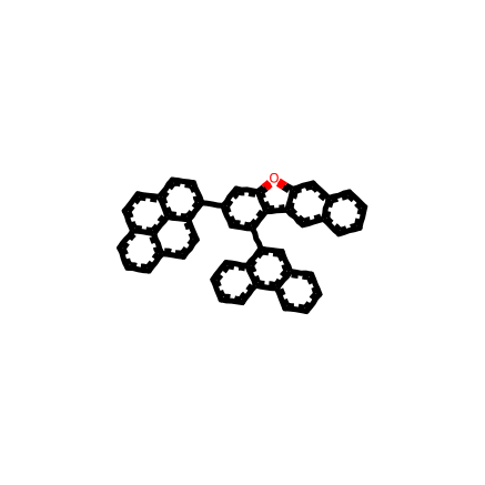 c1ccc2cc3c(cc2c1)oc1cc(-c2ccc4ccc5cccc6ccc2c4c56)cc(-c2cc4ccccc4c4ccccc24)c13